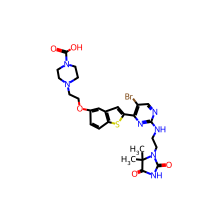 CC1(C)C(=O)NC(=O)N1CCNc1ncc(Br)c(-c2cc3cc(OCCN4CCN(C(=O)O)CC4)ccc3s2)n1